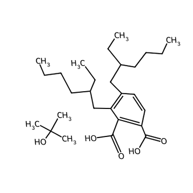 CC(C)(C)O.CCCCC(CC)Cc1ccc(C(=O)O)c(C(=O)O)c1CC(CC)CCCC